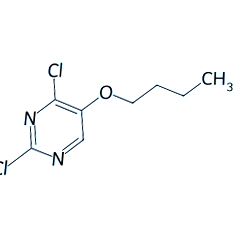 CCCCOc1cnc(Cl)nc1Cl